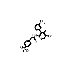 Cc1c(Br)cnc(NC(=S)Cc2ccc(S(C)(=O)=O)cc2)c1-c1cccc(C(F)(F)F)c1